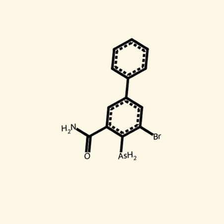 NC(=O)c1cc(-c2ccccc2)cc(Br)c1[AsH2]